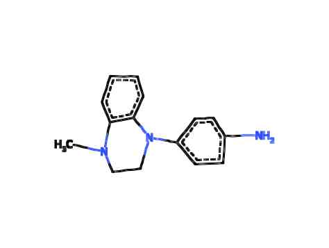 CN1CCN(c2ccc(N)cc2)c2ccccc21